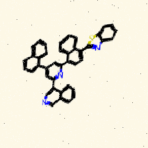 c1ccc2c(-c3cc(-c4cncc5ccccc45)nc(-c4ccc(-c5nc6ccccc6s5)c5ccccc45)c3)cccc2c1